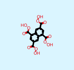 O=C(OO)c1cc(C(=O)OO)c2cc(C(=O)OO)cc(C(=O)OO)c2c1